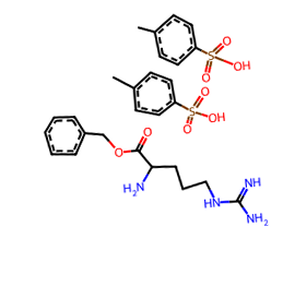 Cc1ccc(S(=O)(=O)O)cc1.Cc1ccc(S(=O)(=O)O)cc1.N=C(N)NCCCC(N)C(=O)OCc1ccccc1